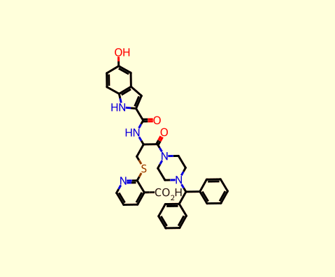 O=C(NC(CSc1ncccc1C(=O)O)C(=O)N1CCN(C(c2ccccc2)c2ccccc2)CC1)c1cc2cc(O)ccc2[nH]1